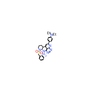 CCN(CC)c1ccc(-c2cc(C3CCCN(S(=O)(=O)Cc4ccccc4)C3)c3c(N)ncnc3n2)cc1